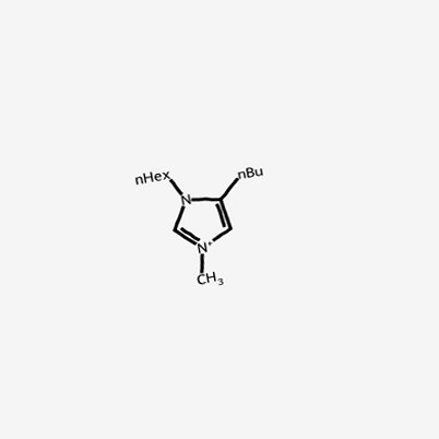 CCCCCCn1c[n+](C)cc1CCCC